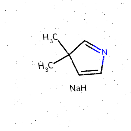 CC1(C)C=CN=C1.[NaH]